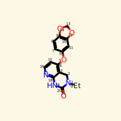 CCN1Cc2c(Oc3ccc4c(c3)OCO4)ccnc2NC1=O